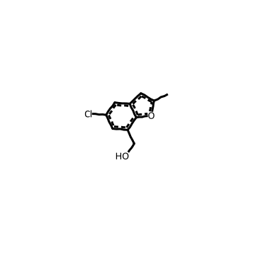 Cc1cc2cc(Cl)cc(CO)c2o1